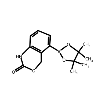 CC1(C)OB(c2cccc3c2COC(=O)N3)OC1(C)C